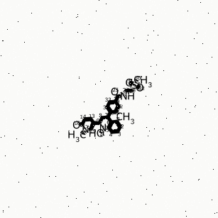 Cc1ccccc1C(C/C(=N/O)c1ccc(=O)n(C)c1)c1ccc(C(=O)NCCS(C)(=O)=O)cc1